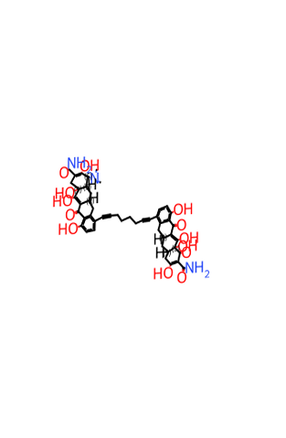 CN(C)[C@@H]1C(O)=C(C(N)=O)C[C@@]2(O)C(O)=C3C(=O)c4c(O)ccc(C#CCCCCC#Cc5ccc(O)c6c5C[C@H]5C[C@H]7CC(O)=C(C(N)=O)C(=O)[C@@]7(O)C(O)=C5C6=O)c4C[C@H]3C[C@@H]12